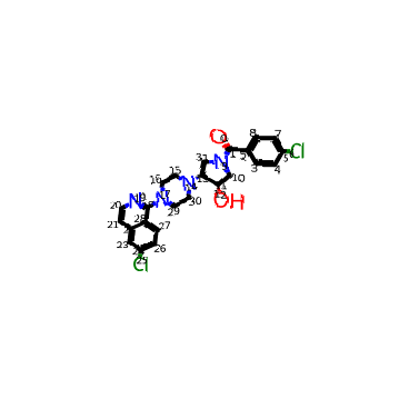 O=C(c1ccc(Cl)cc1)N1C[C@@H](O)[C@H](N2CCN(c3nccc4cc(Cl)ccc34)CC2)C1